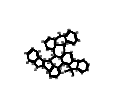 CC1(C)c2ccccc2-c2cc3c4c(c21)-c1cccc2c5sc6ccccc6c5n(c12)B4c1cccc2c1N3c1ccccc1S2